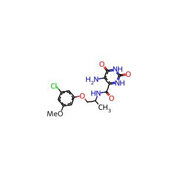 COc1cc(Cl)cc(OCC(C)NC(=O)c2[nH]c(=O)[nH]c(=O)c2N)c1